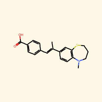 CC(=Cc1ccc(C(=O)O)cc1)c1ccc2c(c1)SCCCN2C